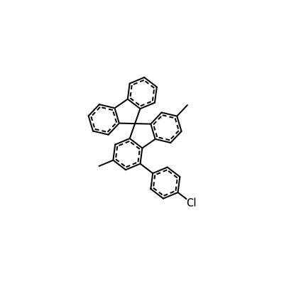 Cc1ccc2c(c1)C1(c3ccccc3-c3ccccc31)c1cc(C)cc(-c3ccc(Cl)cc3)c1-2